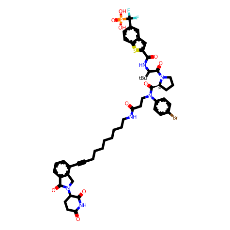 CC(C)(C)C(NC(=O)c1cc2cc(C(F)(F)P(=O)(O)O)ccc2s1)C(=O)N1CCC[C@H]1C(=O)N(CCC(=O)NCCCCCCCCC#Cc1cccc2c1CN(C1CCC(=O)NC1=O)C2=O)c1ccc(Br)cc1